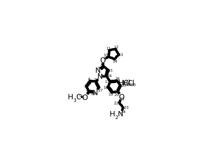 COc1ccc(-n2nc(OC3CCCC3)cc2-c2ccc(OCCN)cc2)cn1.Cl.Cl